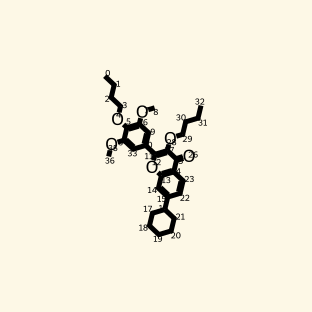 CCCCOc1c(OC)cc(-c2oc3cc(C4CCCCC4)ccc3c(=O)c2OCCCC)cc1OC